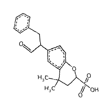 CC1(C)CC(S(=O)(=O)O)Oc2ccc(C(C=O)Cc3ccccc3)cc21